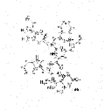 CCCC[C@@H](C(=O)N(C)[C@@H](CCCC)C(=O)NC)N(C)C(=O)[C@H](Cc1c[nH]c2ccccc12)NC(=O)[C@H](CCCNCO)NC(=O)[C@H](Cc1c[nH]c2ccccc12)NC(=O)CN(C)C(=O)[C@@H](N)CC(C)C